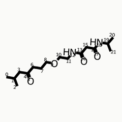 CC(C)CC(=O)CCCOCCNC(=O)CC(=O)NC(C)C